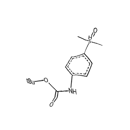 CC(C)(C)OC(=O)Nc1ccc([SH](C)(C)=O)cc1